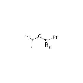 [CH2]C[SiH2]OC(C)C